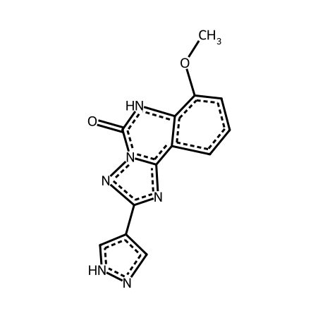 COc1cccc2c1[nH]c(=O)n1nc(-c3cn[nH]c3)nc21